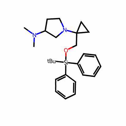 CN(C)C1CCN(C2(CO[Si](c3ccccc3)(c3ccccc3)C(C)(C)C)CC2)C1